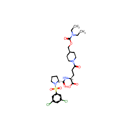 CCN(CC)C(=O)OCC1CCN(C(=O)CC[C@H](NC(=O)[C@H]2CCCN2S(=O)(=O)c2cc(Cl)cc(Cl)c2)C(=O)O)CC1